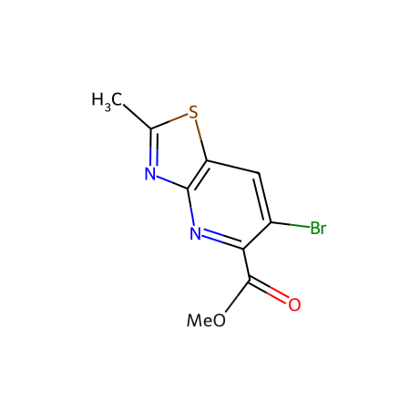 COC(=O)c1nc2nc(C)sc2cc1Br